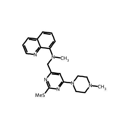 CSc1nc(CN(C)c2cccc3cccnc23)cc(N2CCN(C)CC2)n1